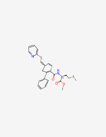 COC(=O)[C@H](CCSC)NC(=O)C1=C(c2ccccc2)CC(=CSc2ccccn2)C=C1